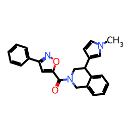 Cn1ccc(C2CN(C(=O)c3cc(-c4ccccc4)no3)Cc3ccccc32)c1